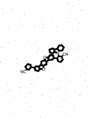 N#Cc1cccc(-c2ccc3oc4cc5c(cc4c3c2)oc2ccc(C3=CC=CC(C#N)C3n3c4ccccc4c4ccccc43)cc25)c1